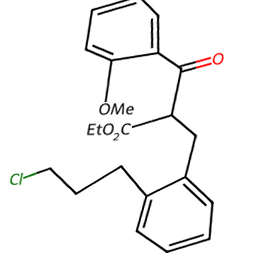 CCOC(=O)C(Cc1ccccc1CCCCl)C(=O)c1ccccc1OC